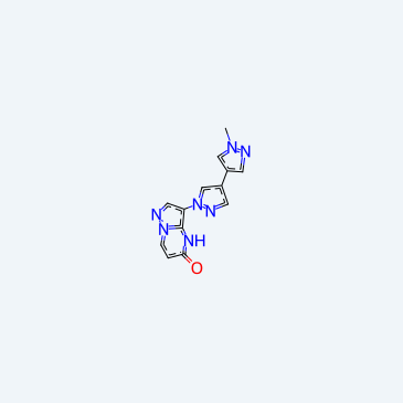 Cn1cc(-c2cnn(-c3cnn4ccc(=O)[nH]c34)c2)cn1